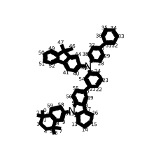 CC1(C)CCC(C)(C)c2cc(-n3c4ccccc4c4cc(-c5cccc(N(c6ccc(-c7ccccc7)cc6)c6ccc7c(c6)C(C)(C)c6ccccc6-7)c5)ccc43)ccc21